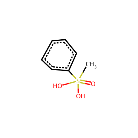 CS(=O)(O)(O)c1ccccc1